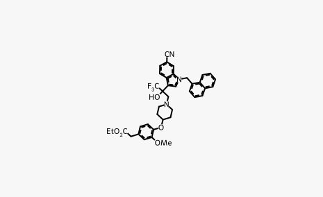 CCOC(=O)Cc1ccc(OC2CCN(CC(O)(c3cn(Cc4cccc5ccccc45)c4cc(C#N)ccc34)C(F)(F)F)CC2)c(OC)c1